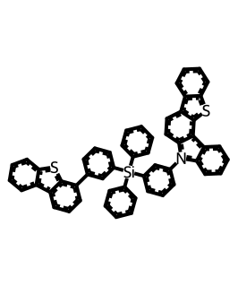 c1ccc([Si](c2ccccc2)(c2cccc(-c3cccc4c3sc3ccccc34)c2)c2cccc(-n3c4ccccc4c4c5sc6ccccc6c5ccc43)c2)cc1